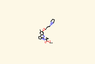 CCOC(=O)C1(Nc2nc3cc(OCCCN4CCCC4)c(C)cc3c3c2CCC3)CC1